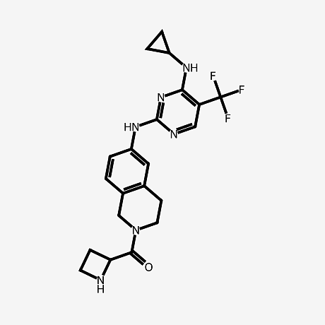 O=C(C1CCN1)N1CCc2cc(Nc3ncc(C(F)(F)F)c(NC4CC4)n3)ccc2C1